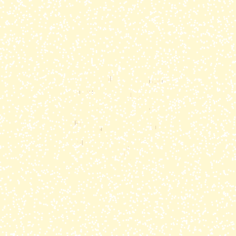 CCCC[SiH]1O[SiH2]O[SiH2]O[Si](CCCC)(CCCC)O[Si](CCCC)(CCCC)O1